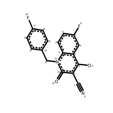 N#Cc1c(Cl)c2cc(F)ccc2n(Cc2ccc(F)cc2)c1=O